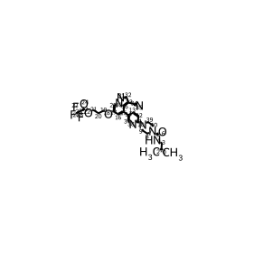 CC(C)CNC(=O)N1CCN(c2ccc(-c3cc(OCCCOC(=O)C(F)(F)F)cn4ncc(C#N)c34)cn2)CC1